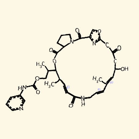 CC1=C\C(O)CC(=O)Cc2nc(co2)C(=O)N2CCCC2C(=O)OC(C(C)COC(=O)Nc2cccnc2)C(C)/C=C/C(=O)NC\C=C\1